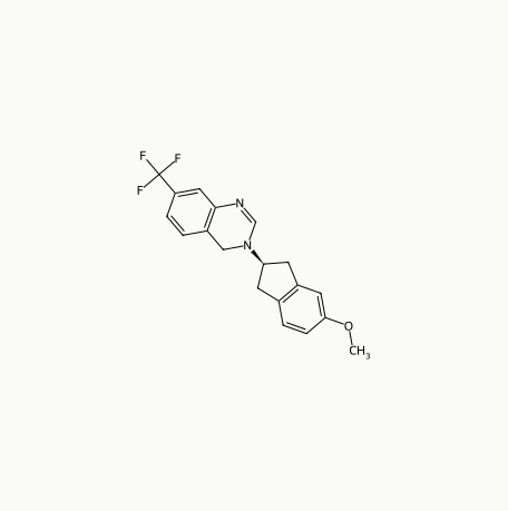 COc1ccc2c(c1)C[C@H](N1C=Nc3cc(C(F)(F)F)ccc3C1)C2